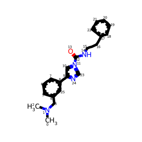 CN(C)Cc1cccc(-c2cn(C(=O)NCCc3ccccc3)cn2)c1